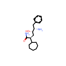 NC(=O)[C@@H](C[C@H](O)[C@@H](N)Cc1ccccc1)C1CCCCCC1